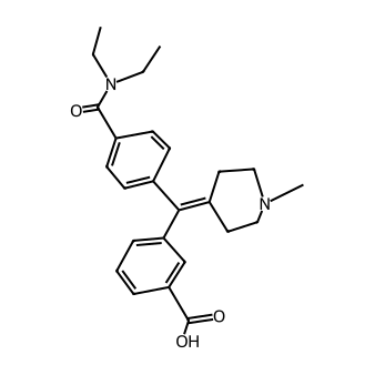 CCN(CC)C(=O)c1ccc(C(=C2CCN(C)CC2)c2cccc(C(=O)O)c2)cc1